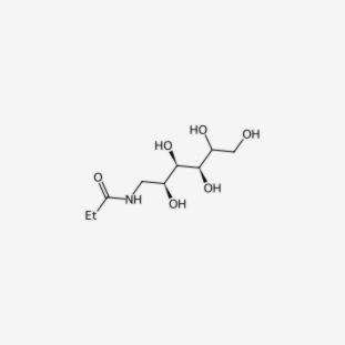 CCC(=O)NC[C@H](O)[C@@H](O)[C@H](O)C(O)CO